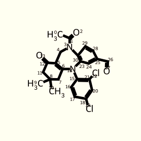 CC(=O)N1CC2=C(CC(C)(C)CC2=O)N(c2ccc(Cl)cc2Cl)c2cc(C=O)ccc21